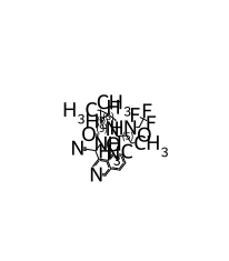 CC(C)[C@H](NC(=O)C(F)(F)F)C(=O)N1C[C@H]2[C@@H]([C@H]1C(=O)NC(C#N)c1cncc3cccnc13)C2(C)C